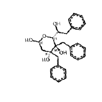 OC(Cc1ccccc1)[C@H]1O[C@H](O)C[C@](O)(Cc2ccccc2)[C@@]1(O)Cc1ccccc1